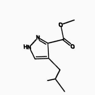 COC(=O)c1n[nH]cc1CC(C)C